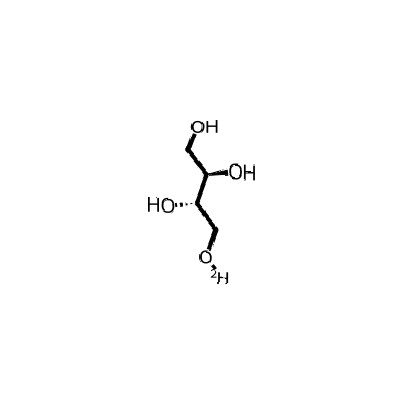 [2H]OC[C@H](O)[C@H](O)CO